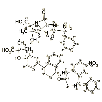 CC(C)(Oc1ccc(C2CCCc3ccccc32)cc1)C(=O)O.CC1(C)S[C@@H]2[C@H](NC(=O)[C@H](N)c3ccccc3)C(=O)N2[C@H]1C(=O)O.O=C1CN=C(c2ccccc2)c2cc([N+](=O)[O-])ccc2N1